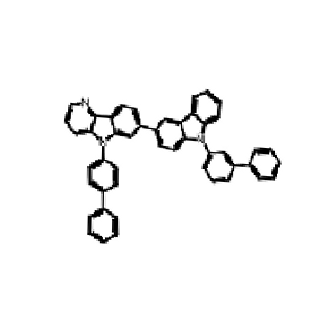 c1ccc(-c2ccc(-n3c4cc(-c5ccc6c(c5)c5ccccc5n6-c5cccc(-c6ccccc6)c5)ccc4c4ncccc43)cc2)cc1